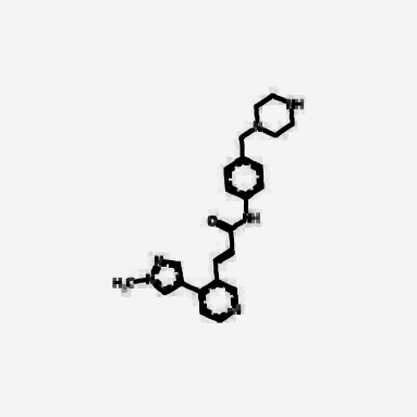 Cn1cc(-c2ccncc2C=CC(=O)Nc2ccc(CN3CCNCC3)cc2)cn1